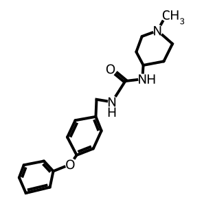 CN1CCC(NC(=O)NCc2ccc(Oc3ccccc3)cc2)CC1